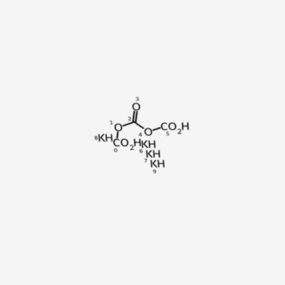 O=C(O)OC(=O)OC(=O)O.[KH].[KH].[KH].[KH]